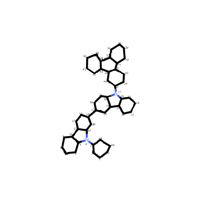 C1CCC(N2C3CCCCC3C3CCC(C4CCC5C(C4)C4CCCCC4N5C4CCC5C6CCCCC6C6CCCCC6C5C4)CC32)CC1